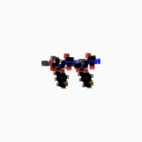 CC(C)C[C@H](C(=O)O)N(CCN1C(=O)CNC1=O)S(=O)(=O)Cc1ccc2sccc2c1.CC(C)C[C@H](C(=O)OC(C)(C)C)N(CCN1C(=O)CNC1=O)S(=O)(=O)Cc1ccc2sccc2c1